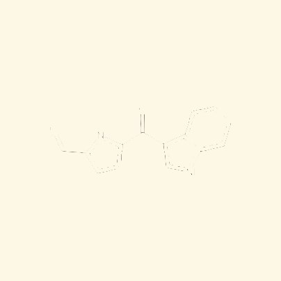 O=Cc1csc(C(=O)c2c[nH]c3ccccc23)n1